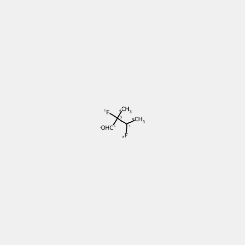 CC(F)C(C)(F)[C]=O